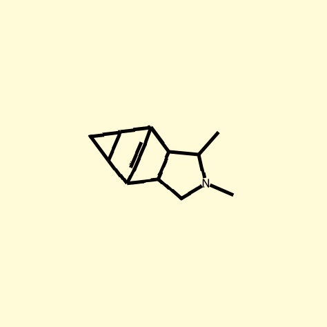 CC1C2C3C=CC(C4CC34)C2CN1C